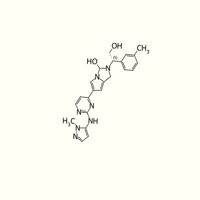 Cc1cccc([C@@H](CO)N2Cc3cc(-c4ccnc(Nc5ccnn5C)n4)cn3C2O)c1